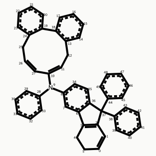 C1=CC2=C(CC1)c1cc(N(C3=C/Cc4ccccc4-c4ccccc4C/C=C\3)c3ccccc3)ccc1C2(c1ccccc1)c1ccccc1